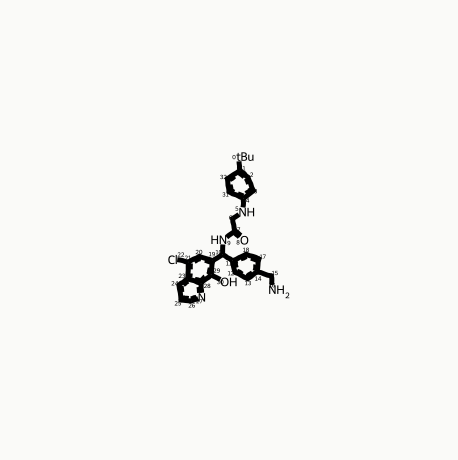 CC(C)(C)c1ccc(NCC(=O)NC(c2ccc(CN)cc2)c2cc(Cl)c3cccnc3c2O)cc1